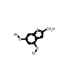 CCOc1cc(OC(C)C)cc2sc(C(=O)O)cc12